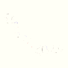 O[C@H](COc1ccc2oc(-c3ccc(Cl)cc3)nc2c1)CN1CCN(Cc2cc(-c3ccccc3Cl)no2)CC1